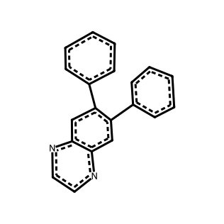 c1ccc(-c2cc3nccnc3cc2-c2ccccc2)cc1